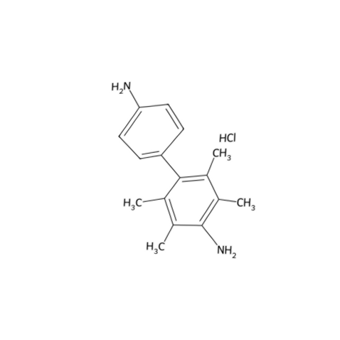 Cc1c(C)c(-c2ccc(N)cc2)c(C)c(C)c1N.Cl